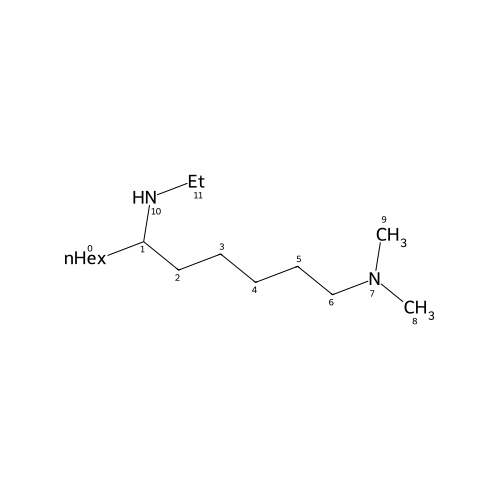 CCCCCCC(CCCCCN(C)C)NCC